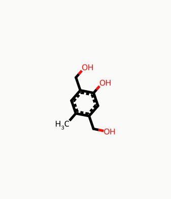 Cc1cc(CO)c(O)cc1CO